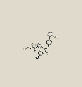 CC[C@H](C)[C@H](NC(=O)CCC(C)C)C(=O)N1C[C@H](O)C[C@H]1C(=O)NCc1ccc(-c2scnc2C)cc1